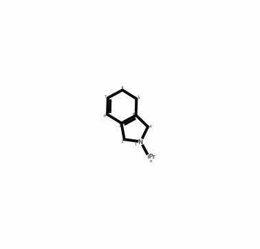 CC(C)N1CC2=C(CCC=C2)C1